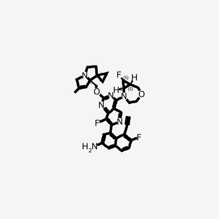 C#Cc1c(F)ccc2cc(N)cc(-c3ncc4c(N5CCOC[C@H]6[C@H](F)[C@H]65)nc(OC[C@@]56C=C(C)CN5CCC65CC5)nc4c3F)c12